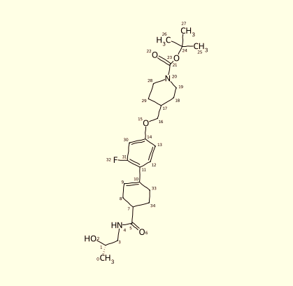 C[C@H](O)CNC(=O)C1CC=C(c2ccc(OCC3CCN(C(=O)OC(C)(C)C)CC3)cc2F)CC1